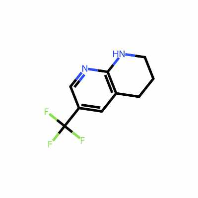 FC(F)(F)c1cnc2c(c1)CCCN2